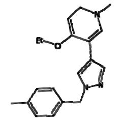 CCOC1=CCN(C)C=C1c1cnn(Cc2ccc(C)cc2)c1